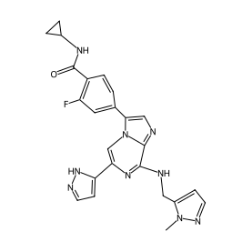 Cn1nccc1CNc1nc(-c2ccn[nH]2)cn2c(-c3ccc(C(=O)NC4CC4)c(F)c3)cnc12